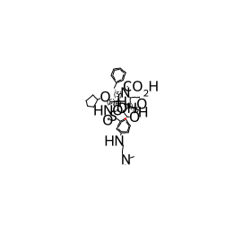 CN(C)CCNc1cccc(S(=O)(=O)N[C@@H](OC2CCCC2)[C@H](O)[C@H](Cc2ccccc2)N(C(=O)O)C2CO[C@@H]3OCC[C@H]23)c1